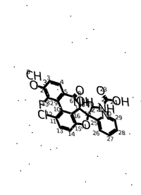 COc1ccc(C(N)=O)c(-c2c(Cl)ccc3c2[C@@H](O)[C@](CNC(=O)O)(c2ccccn2)O3)c1F